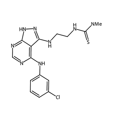 CNC(=S)NCCNc1n[nH]c2ncnc(Nc3cccc(Cl)c3)c12